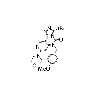 COc1ccc(Cn2c(=O)n3c(C(C)(C)C)nnc3c3cnc(N4CCOCC4)cc32)cc1